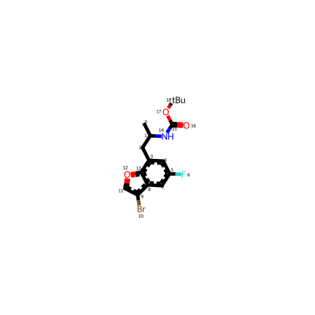 CC(Cc1cc(F)cc2c(Br)coc12)NC(=O)OC(C)(C)C